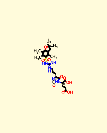 Cc1c(C)c(S(=O)(=O)NC(=N)NCCC[C@H](N=C=O)C(=O)N[C@@H](CCC(=O)O)C(=O)O)c(C)c2c1OC(C)(C)C2